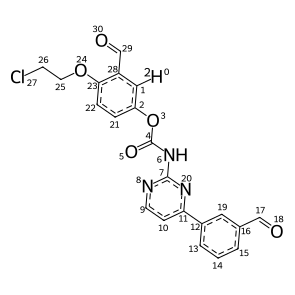 [2H]c1c(OC(=O)Nc2nccc(-c3cccc(C=O)c3)n2)ccc(OCCCl)c1C=O